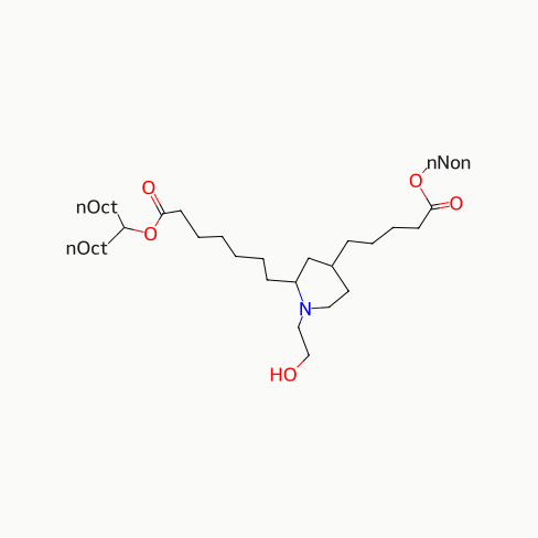 CCCCCCCCCOC(=O)CCCCC1CCN(CCO)C(CCCCCCC(=O)OC(CCCCCCCC)CCCCCCCC)C1